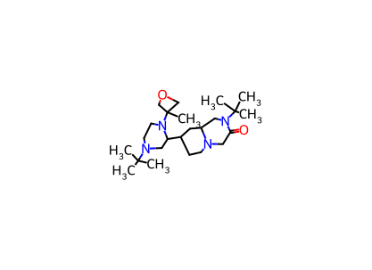 CC(C)(C)N1CCN(C2(C)COC2)C(C2CCN3CC(=O)N(C(C)(C)C)CC3C2)C1